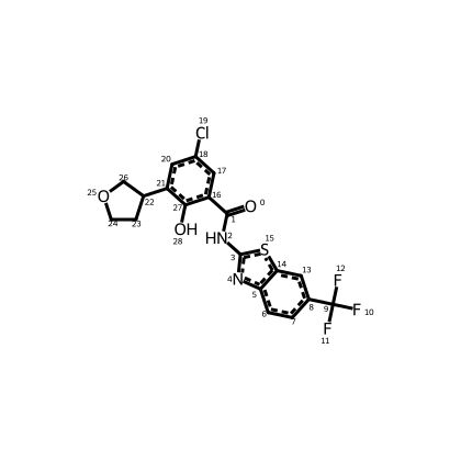 O=C(Nc1nc2ccc(C(F)(F)F)cc2s1)c1cc(Cl)cc(C2CCOC2)c1O